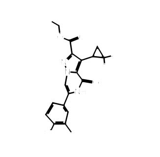 CCOC(=O)c1nn2cc(-c3ccc(Cl)c(C)c3)[nH]c(=O)c2c1C1CC1(F)F